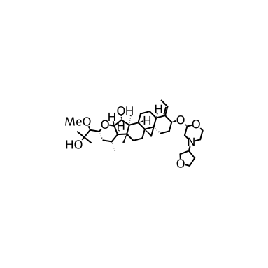 C/C=C1/[C@@H](O[C@H]2CN(C3CCOC3)CCO2)CC[C@]23C[C@]24CC[C@]2(C)[C@@H]5[C@H](O[C@@H]([C@H](OC)C(C)(C)O)C[C@H]5C)[C@H](O)[C@@]2(C)[C@@H]4CC[C@@H]13